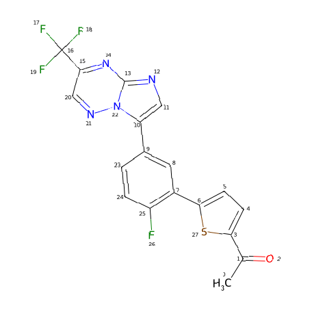 CC(=O)c1ccc(-c2cc(-c3cnc4nc(C(F)(F)F)cnn34)ccc2F)s1